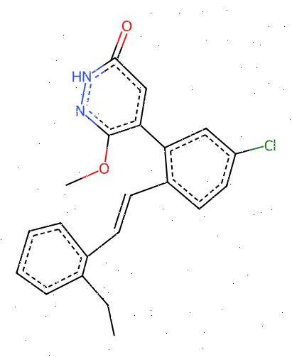 CCc1ccccc1C=Cc1ccc(Cl)cc1-c1cc(=O)[nH]nc1OC